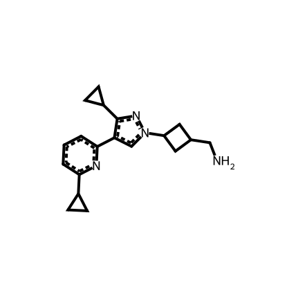 NCC1CC(n2cc(-c3cccc(C4CC4)n3)c(C3CC3)n2)C1